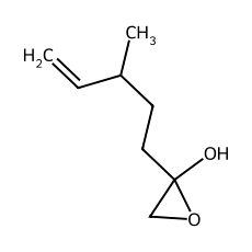 C=CC(C)CCC1(O)CO1